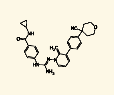 C=C1C(c2ccc(C3(C#N)CCOCC3)cc2)=CC=CN1/N=C(\N)Nc1ccc(C(=O)NC2CC2)cc1